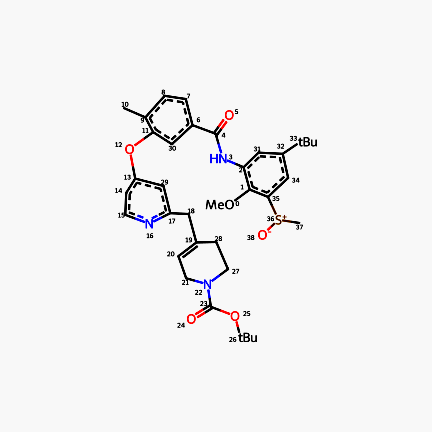 COc1c(NC(=O)c2ccc(C)c(Oc3ccnc(CC4=CCN(C(=O)OC(C)(C)C)CC4)c3)c2)cc(C(C)(C)C)cc1[S+](C)[O-]